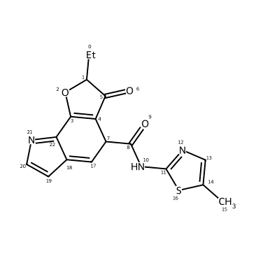 CCC1OC2=C(C1=O)C(C(=O)Nc1ncc(C)s1)C=C1C=CN=C12